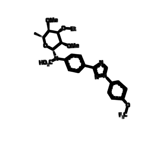 CCO[C@H]1[C@@H](OC)[C@H](N(C(=O)O)c2ccc(-c3ncn(-c4ccc(OC(F)(F)F)cc4)n3)cc2)O[C@H](C)[C@H]1OC